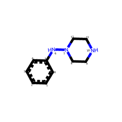 [c]1ccccc1NN1CCNCC1